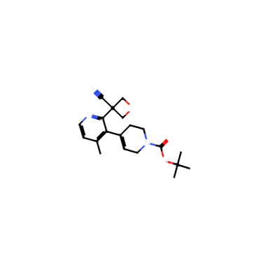 Cc1ccnc(C2(C#N)COC2)c1C1=CCN(C(=O)OC(C)(C)C)CC1